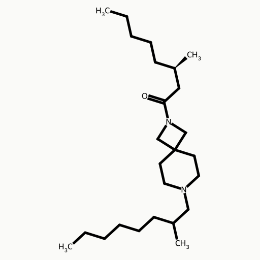 CCCCCCC(C)CN1CCC2(CC1)CN(C(=O)C[C@H](C)CCCCC)C2